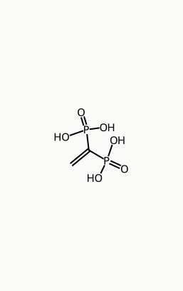 C=C(P(=O)(O)O)P(=O)(O)O